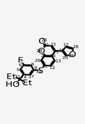 CCC(O)(CC)c1cc(F)cc(Sc2ccc3c(-c4ccoc4)cc(=O)oc3c2)c1